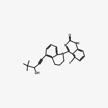 CC(C)(C)C(O)C#Cc1cccc2c1CCCN2c1nc(=O)[nH]c2cccc(F)c12